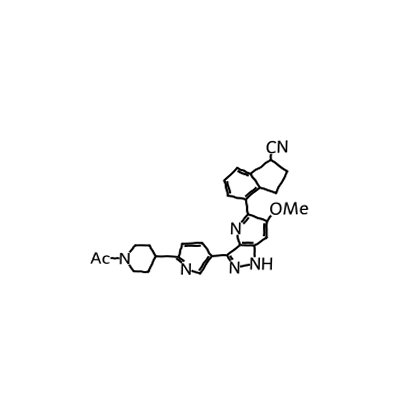 COc1cc2[nH]nc(-c3ccc(C4CCN(C(C)=O)CC4)nc3)c2nc1-c1cccc2c1CCC2C#N